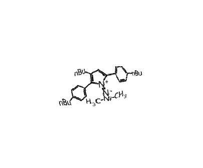 CCCCC1=C(c2ccc(CCCC)cc2)[N+](=[N-])C(c2ccc(CCCC)cc2)=C1.[CH3][Ni][CH3]